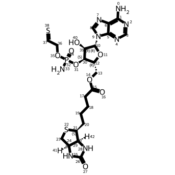 Nc1ncnc2c1ncn2[C@@H]1O[C@H](COC(=O)CCCC[C@@H]2SC[C@@H]3NC(=O)N[C@@H]32)[C@@H](OP(N)(=O)OCC=S)[C@H]1O